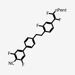 CCCCC/C(F)=C(\F)c1ccc(CCc2ccc(-c3cc(F)c(C#N)c(F)c3)cc2)c(F)c1